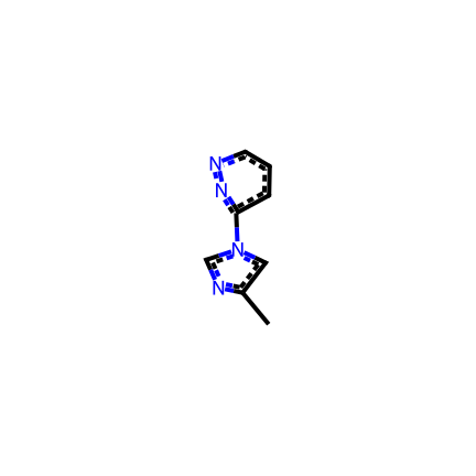 Cc1cn(-c2cccnn2)cn1